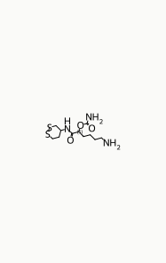 NCCCC[C@H](OC(N)=O)C(=O)NC1CCSSC1